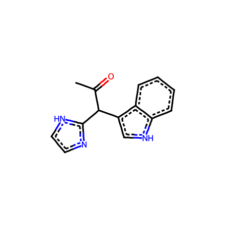 CC(=O)C(c1ncc[nH]1)c1c[nH]c2ccccc12